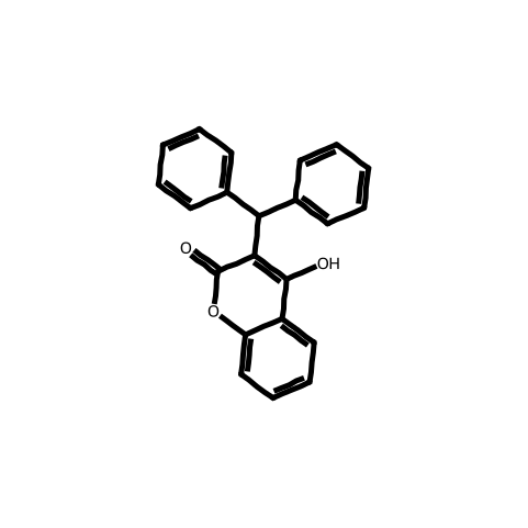 O=c1oc2ccccc2c(O)c1C(c1ccccc1)c1ccccc1